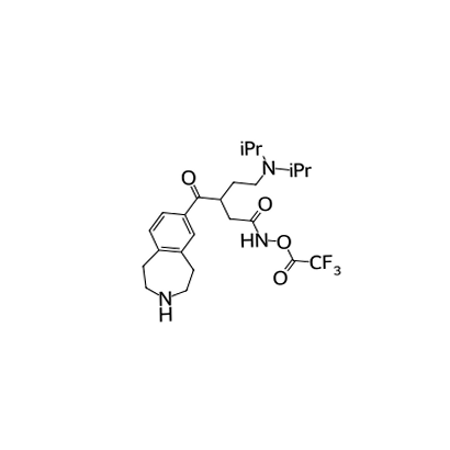 CC(C)N(CCC(CC(=O)NOC(=O)C(F)(F)F)C(=O)c1ccc2c(c1)CCNCC2)C(C)C